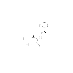 CC[C@H](C)[C@H](NCC(=O)[C@@H]1CSCN1)C(C)=O